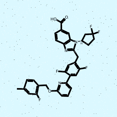 Cc1ccc(COc2cccc(-c3cc(F)c(Cc4nc5ccc(C(=O)O)cc5n4[C@H]4CCC(F)(F)C4)cc3F)n2)c(F)c1